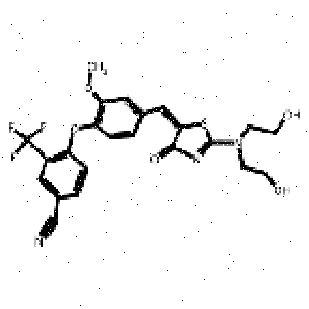 COc1cc(C=C2SC(N(CCO)CCO)=NC2=O)ccc1Oc1ccc(C#N)cc1C(F)(F)F